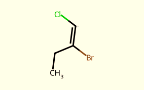 CC/C(Br)=[C]\Cl